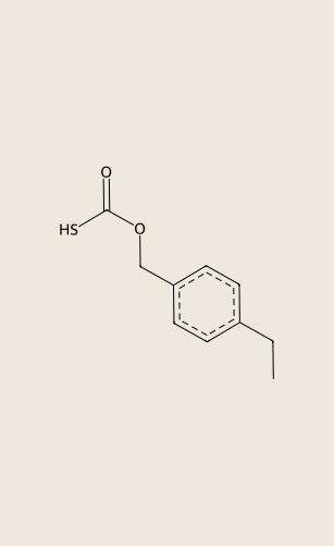 CCc1ccc(COC(=O)S)cc1